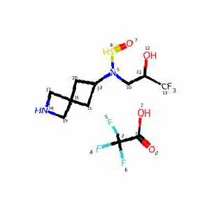 O=C(O)C(F)(F)F.O=[SH]N(CC(O)C(F)(F)F)C1CC2(CNC2)C1